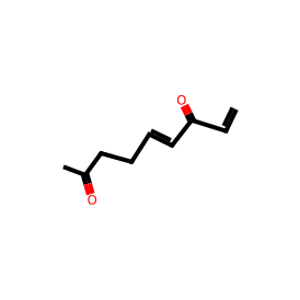 C=CC(=O)C=CCCC(C)=O